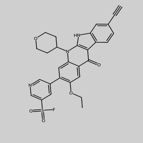 C#Cc1ccc2c(c1)[nH]c1c2c(=O)c2cc(OCC)c(-c3cncc(S(=O)(=O)F)c3)cc2n1C1CCOCC1